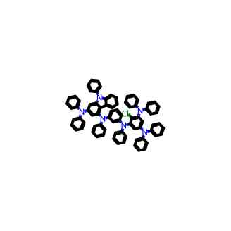 Clc1c(N(c2ccccc2)c2ccccc2)cc(N(c2ccccc2)c2ccccc2)cc1N(c1ccccc1)c1cccc(N(c2ccccc2)c2cc(N(c3ccccc3)c3ccccc3)cc3c2c2ccccc2n3-c2ccccc2)c1